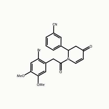 COc1cc(Br)c(CC(=O)N2C=CC(=O)CC2c2cccc(C#N)c2)cc1OC